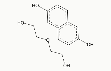 OCCOCCO.Oc1ccc2cc(O)ccc2c1